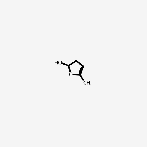 CC1=CCC(O)O1